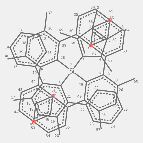 CC1=C(C)C(C)C([Si](c2c(-c3ccccc3)c(C)cc(C)c2-c2ccccc2)(c2c(-c3ccccc3)c(C)cc(C)c2-c2ccccc2)c2c(-c3ccccc3)c(C)cc(C)c2-c2ccccc2)=C1C